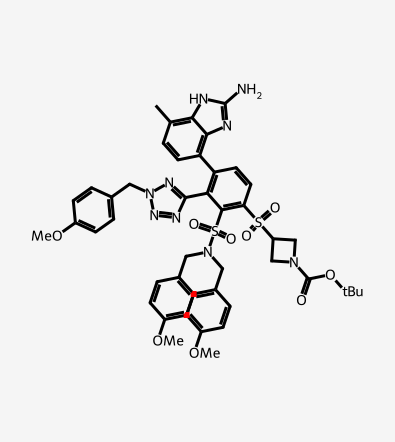 COc1ccc(CN(Cc2ccc(OC)cc2)S(=O)(=O)c2c(S(=O)(=O)C3CN(C(=O)OC(C)(C)C)C3)ccc(-c3ccc(C)c4[nH]c(N)nc34)c2-c2nnn(Cc3ccc(OC)cc3)n2)cc1